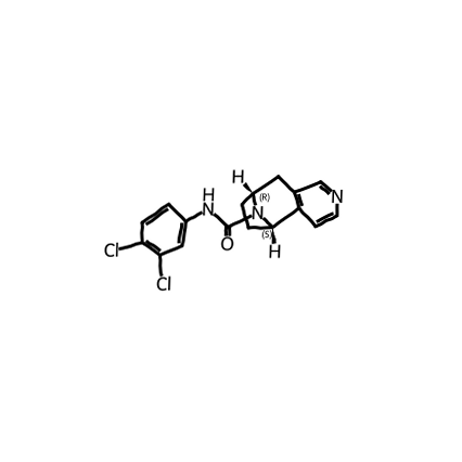 O=C(Nc1ccc(Cl)c(Cl)c1)N1[C@@H]2CC[C@H]1c1ccncc1C2